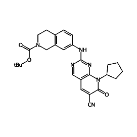 CC(C)(C)OC(=O)N1CCc2ccc(Nc3ncc4cc(C#N)c(=O)n(C5CCCC5)c4n3)cc2C1